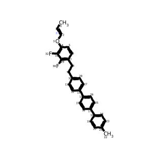 C/C=C/Oc1ccc(CCc2ccc(-c3ccc(-c4ccc(C)cc4)cc3)cc2)c(F)c1F